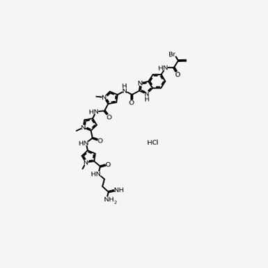 C=C(Br)C(=O)Nc1ccc2[nH]c(C(=O)Nc3cc(C(=O)Nc4cc(C(=O)Nc5cc(C(=O)NCCC(=N)N)n(C)c5)n(C)c4)n(C)c3)nc2c1.Cl